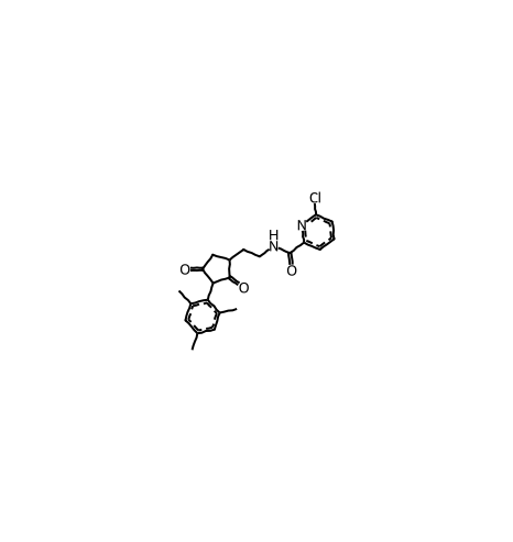 Cc1cc(C)c(C2C(=O)CC(CCNC(=O)c3cccc(Cl)n3)C2=O)c(C)c1